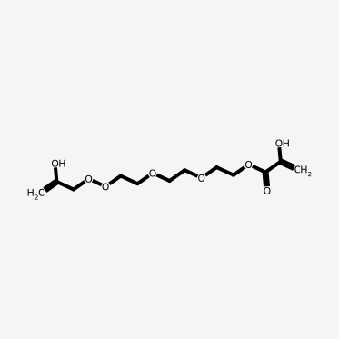 C=C(O)COOCCOCCOCCOC(=O)C(=C)O